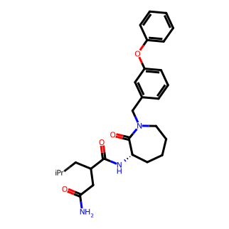 CC(C)CC(CC(N)=O)C(=O)N[C@H]1CCCCN(Cc2cccc(Oc3ccccc3)c2)C1=O